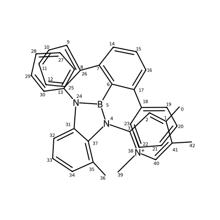 Cc1cc(N2B(c3c(-c4ccccc4)cccc3-c3ccccc3)N(c3ccccc3)c3cccc(C)c32)[n+](C)cc1C